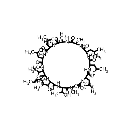 C/C=C/CC(C)C(O)C1C(=O)NC(C(C)O)C(=O)N(C)CC(=O)N(C)C(CC(C)C)C(=O)NC(CC(C)C)C(=O)N(C)C(CC(C)C)C(=O)NC(C)C(=O)NC(C)C(=O)N(C)C(CC(C)C)C(=O)NC(CC(C)C)C(=O)N(C)C(C(C)C)C(=O)N1C